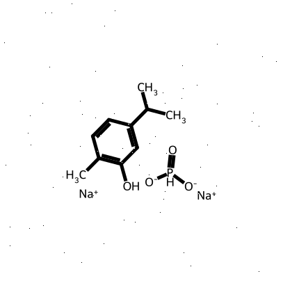 Cc1ccc(C(C)C)cc1O.O=[PH]([O-])[O-].[Na+].[Na+]